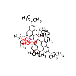 CCC(C)c1cc(C(C)CC)c2cc(-c3cccc(P(O)(O)(O)c4cc5c(C(C)CC)cc(C(C)CC)cc5cc4C(C)CC)c3-c3ccc(C)cc3)c(C(C)CC)cc2c1